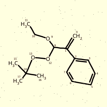 C=C(c1ccccc1)C(OCC)OOC(C)(C)C